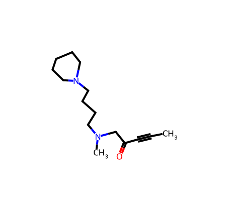 CC#CC(=O)CN(C)CCCCN1CCCCC1